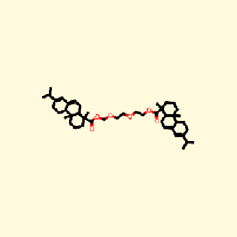 CC(C)C1=CC2=CCC3C(C)(C(=O)OCCOCCOCOC(=O)C4(C)CCCC5(C)C6CCC(C(C)C)=CC6=CCC45)CCCC3(C)C2CC1